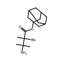 CC(C)(C)C(C)(C(=O)OC12CC3CC(CC(C3)C1)C2)C(C)(C)N